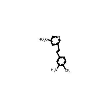 Nc1cc(C=Cc2cncc(C(=O)O)c2)ccc1C(F)(F)F